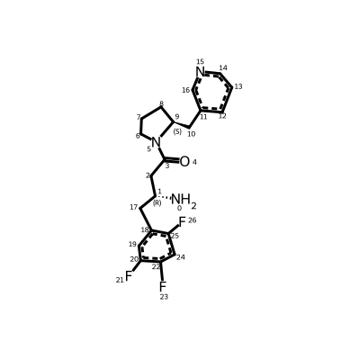 N[C@@H](CC(=O)N1CCC[C@H]1Cc1cccnc1)Cc1cc(F)c(F)cc1F